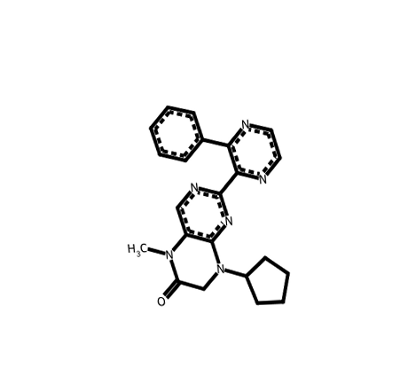 CN1C(=O)CN(C2CCCC2)c2nc(-c3nccnc3-c3ccccc3)ncc21